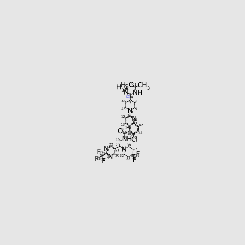 C=C(C)N/C(=N\C)C1CCN(c2ccc3c(C(=O)NCC(c4cnc(C(F)(F)F)nc4)N4CCC(F)(F)CC4)c(Cl)ccc3n2)CC1